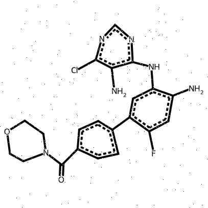 Nc1cc(F)c(-c2ccc(C(=O)N3CCOCC3)cc2)cc1Nc1ncnc(Cl)c1N